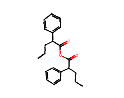 CCCC(C(=O)OC(=O)C(CCC)c1ccccc1)c1ccccc1